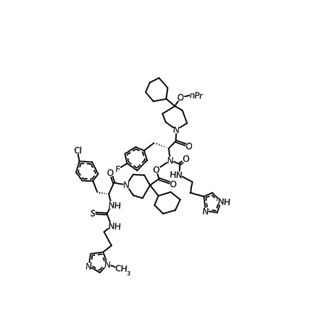 CCCOC1(C2CCCCC2)CCN(C(=O)[C@@H](Cc2ccc(F)cc2)N(OC(=O)C2(C3CCCCC3)CCN(C(=O)[C@@H](Cc3ccc(Cl)cc3)NC(=S)NCCc3cncn3C)CC2)C(=O)NCCc2c[nH]cn2)CC1